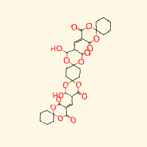 O=C1OC2(CCCCC2)OC(=O)C1=CC1C(=O)OC2(CCC3(CC2)OC(=O)C(C=C2C(=O)OC4(CCCCC4)OC2=O)C(O)O3)OC1O